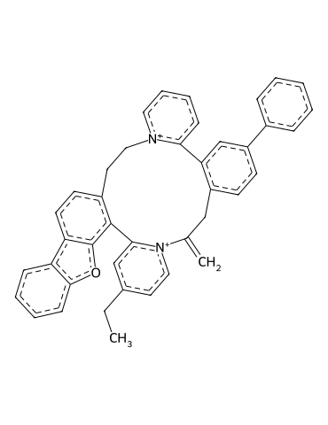 C=C1Cc2ccc(-c3ccccc3)cc2-c2cccc[n+]2CCc2ccc3c(oc4ccccc43)c2-c2cc(CC)cc[n+]21